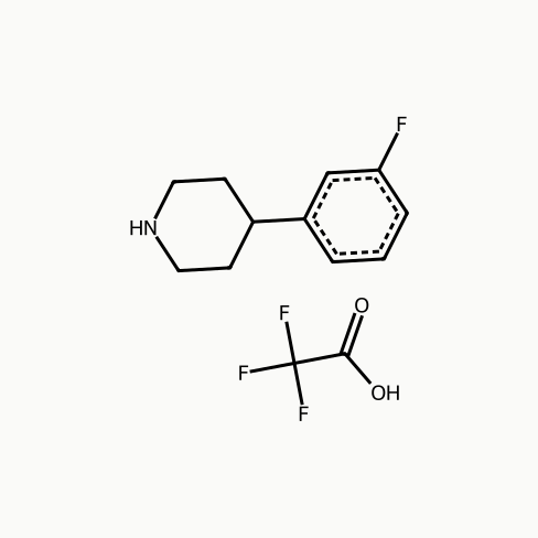 Fc1cccc(C2CCNCC2)c1.O=C(O)C(F)(F)F